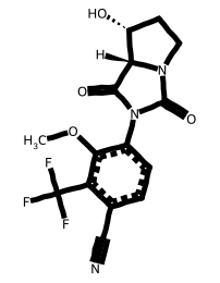 COc1c(N2C(=O)[C@@H]3[C@H](O)CCN3C2=O)ccc(C#N)c1C(F)(F)F